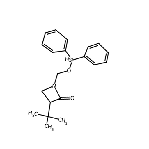 CC(C)(C)C1CN(CO[SiH](c2ccccc2)c2ccccc2)C1=O